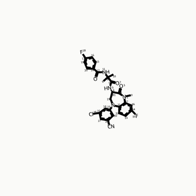 CN1C(=O)[C@H](NC(=O)C(C)(C)NC(=O)c2ccc(F)cc2)CN(c2cc(Cl)cc(C#N)c2)c2ccc(F)cc21